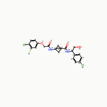 O=C(COc1ccc(Cl)c(F)c1)NC12CC(C(=O)NC(CO)c3ccc(Cl)cc3)(C1)C2